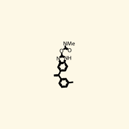 C=C(c1cccc(C)c1)c1ccc2[nH]c(OC(=O)NC)nc2c1